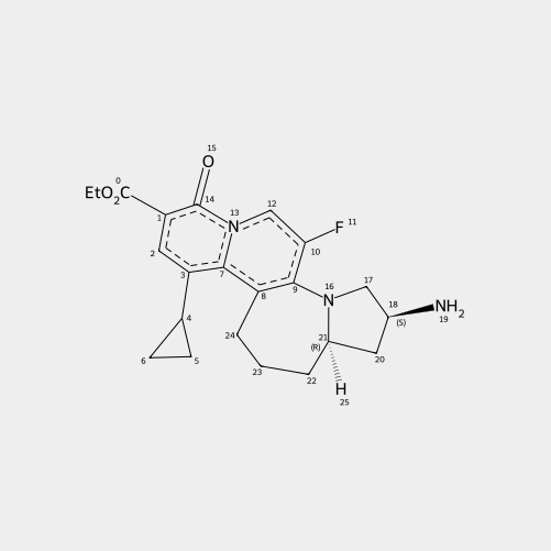 CCOC(=O)c1cc(C2CC2)c2c3c(c(F)cn2c1=O)N1C[C@@H](N)C[C@H]1CCC3